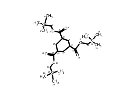 C[Si](C)(C)COC(=O)C1CC(C(=O)OC[Si](C)(C)C)CC(C(=O)OC[Si](C)(C)C)C1